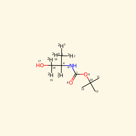 [2H]C([2H])([2H])C([2H])(NC(=O)OC(C)(C)C)C([2H])([2H])O